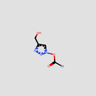 CCC(=O)On1cc(CO)nn1